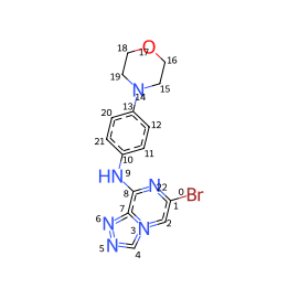 Brc1cn2cnnc2c(Nc2ccc(N3CCOCC3)cc2)n1